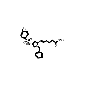 COC(=O)CCCC=C[C@@H]1C[C@@H](NS(=O)(=O)c2ccc(C(F)(F)F)cc2)CN1Cc1ccccc1